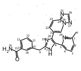 Cc1cccc(-c2[nH]c(Cc3cccc(C(N)=O)c3)nc2-c2ccc3ncnn3c2)n1